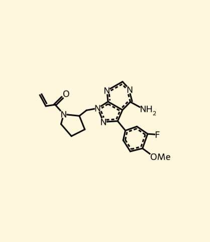 C=CC(=O)N1CCCC1Cn1nc(-c2ccc(OC)c(F)c2)c2c(N)ncnc21